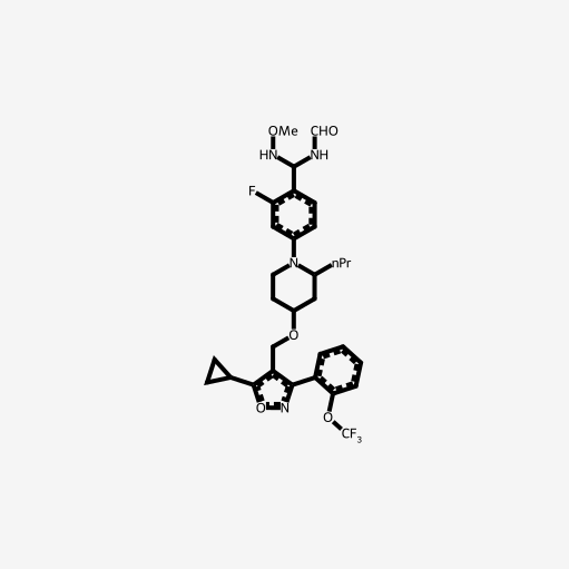 CCCC1CC(OCc2c(-c3ccccc3OC(F)(F)F)noc2C2CC2)CCN1c1ccc(C(NC=O)NOC)c(F)c1